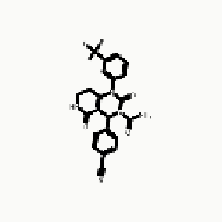 N#Cc1ccc(C2C3=C(CCNC3=O)N(c3cccc(C(F)(F)F)c3)C(=O)N2C(N)=O)cc1